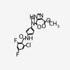 COC(=O)c1nc[nH]c1C(=O)Nc1ccc(NC(=O)c2c(F)cc(F)cc2Cl)cc1